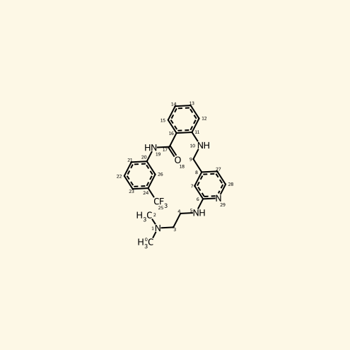 CN(C)CCNc1cc(CNc2ccccc2C(=O)Nc2cccc(C(F)(F)F)c2)ccn1